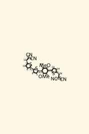 COc1cc(-c2ccc(-c3ccc(C=C(C#N)C#N)s3)s2)c(OC)cc1-c1ccc(C=C(C#N)C#N)s1